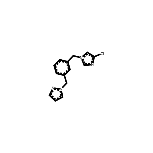 Clc1cn(Cc2cccc(Cn3cccn3)c2)cn1